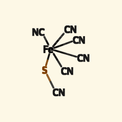 N#C[S][Fe]([C]#N)([C]#N)([C]#N)([C]#N)[C]#N